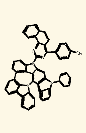 N#Cc1ccc(-c2nc(-n3c4cccc5c6cccc7c8ccccc8n(c67)c6c7c8ccccc8n(-c8ccccc8)c7cc3c6c54)nc3c2ccc2ccccc23)cc1